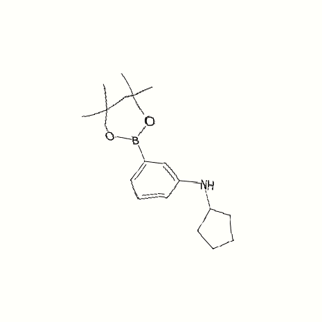 CC1(C)OB(c2cccc(NC3CCCC3)c2)OC1(C)C